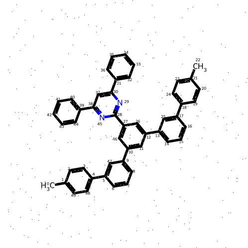 Cc1ccc(-c2cccc(-c3cc(-c4cccc(-c5ccc(C)cc5)c4)cc(-c4nc(-c5ccccc5)cc(-c5ccccc5)n4)c3)c2)cc1